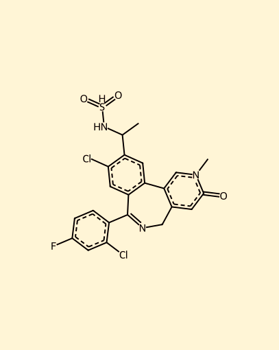 CC(N[SH](=O)=O)c1cc2c(cc1Cl)C(c1ccc(F)cc1Cl)=NCc1cc(=O)n(C)cc1-2